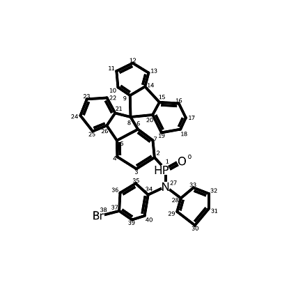 O=[PH](c1ccc2c(c1)C1(c3ccccc3-c3ccccc31)c1ccccc1-2)N(c1ccccc1)c1ccc(Br)cc1